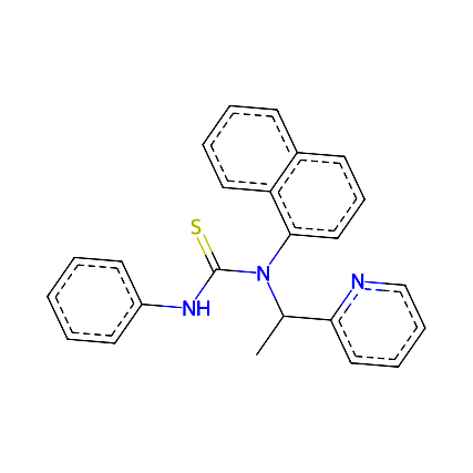 CC(c1ccccn1)N(C(=S)Nc1ccccc1)c1cccc2ccccc12